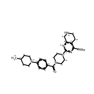 CNc1nc(N2CCN(C(=O)c3ccc(N4CCC(C)CC4)cc3)CC2)nc2c1CCNC2